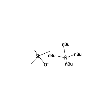 CCCC[N+](CCCC)(CCCC)CCCC.C[Si](C)(C)[O-]